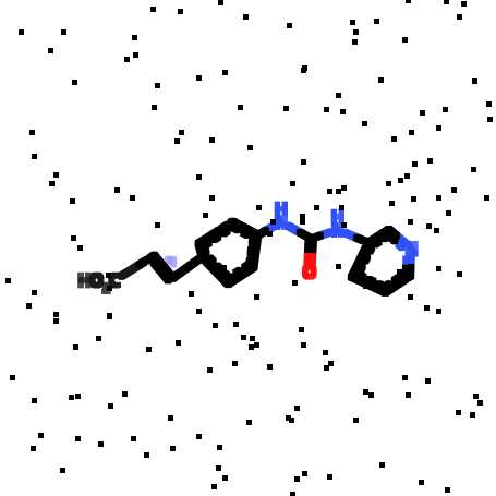 O=C(O)/C=C/c1ccc(NC(=O)Nc2cccnc2)cc1